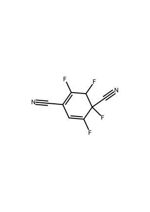 N#CC1=C(F)C(F)C(F)(C#N)C(F)=C1